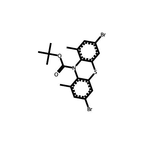 Cc1cc(Br)cc2c1N(C(=O)OC(C)(C)C)c1c(C)cc(Br)cc1S2